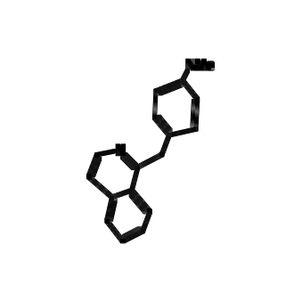 CNc1ccc(Cc2nccc3ccccc23)cc1